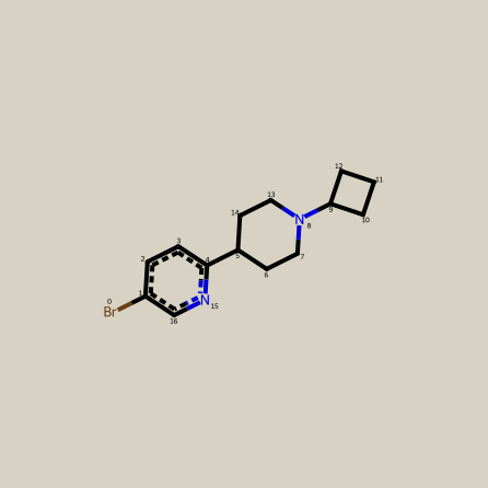 Brc1ccc(C2CCN(C3CCC3)CC2)nc1